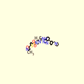 Cc1cc(-c2ccc(S(=O)(=O)N3CCN(CC(C)Nc4ncnc5c(-c6cccc(CN7CCCC7)c6)cccc45)CC3)s2)on1